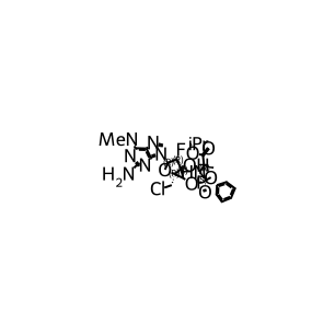 CNc1nc(N)nc2c1ncn2[C@@H]1O[C@]2(CCl)C(O[P@@](=O)(N[C@H](C)C(=O)OC(C)C)Oc3ccccc3)[C@]2(O)[C@H]1F